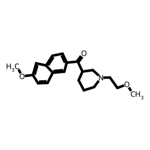 COCCN1CCCC(C(=O)c2ccc3cc(OC)ccc3c2)C1